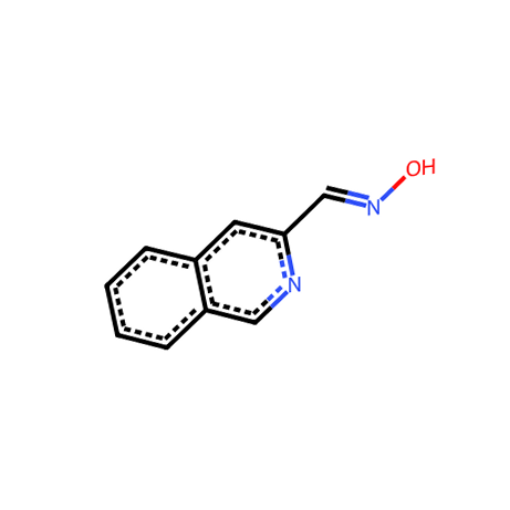 ON=Cc1cc2ccccc2cn1